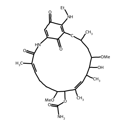 CCNC1=C2CC(C)CC(OC)C(O)C(C)C=C(C)C(OC(N)=O)C(OC)CCC=C(C)C(=O)NC(=CC1=O)C2=O